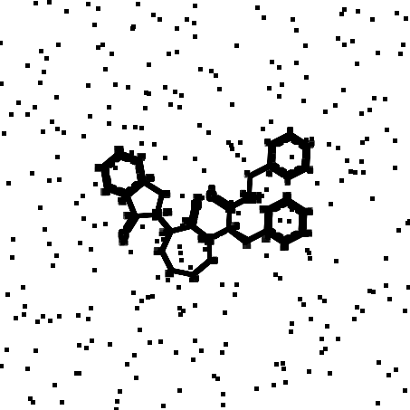 O=C(NCc1ccccc1)[C@@H](Cc1ccccc1)N1CCCCC(N2Cc3ccccc3C2=O)C1=O